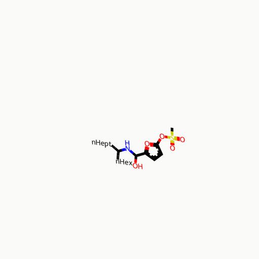 CCCCCCCC(CCCCCC)NC(O)c1ccc(OS(C)(=O)=O)o1